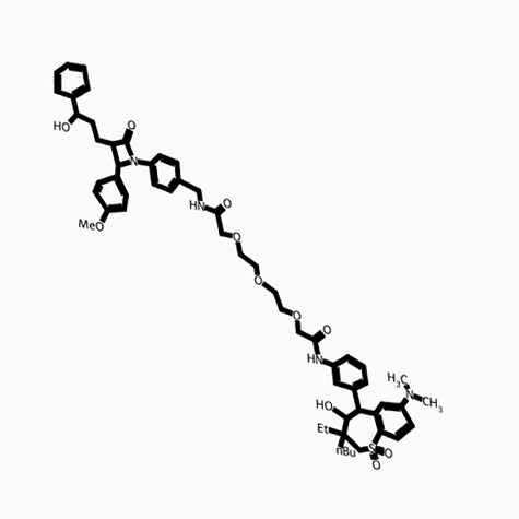 CCCCC1(CC)CS(=O)(=O)c2ccc(N(C)C)cc2C(c2cccc(NC(=O)COCCOCCOCC(=O)NCc3ccc(N4C(=O)C(CCC(O)c5ccccc5)C4c4ccc(OC)cc4)cc3)c2)C1O